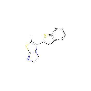 CC1=C(c2cc3ccccc3s2)N2CCN=C2S1